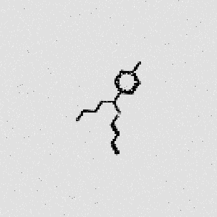 C=CC=COC(CCCC)c1ccc(C)cc1